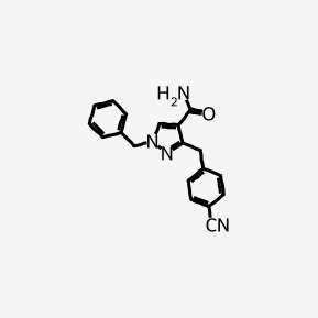 N#Cc1ccc(Cc2nn(Cc3ccccc3)cc2C(N)=O)cc1